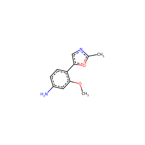 COc1cc(N)ccc1-c1cnc(C)o1